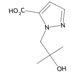 CC(C)(O)Cn1nccc1C(=O)O